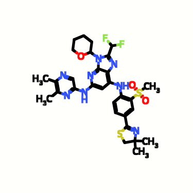 Cc1ncc(Nc2cc(Nc3ccc(C4=NC(C)(C)CS4)cc3S(C)(=O)=O)c3nc(C(F)F)n(C4CCCCO4)c3n2)nc1C